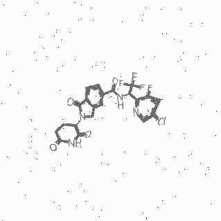 O=C1CC[C@@H](N2Cc3cc(C(=O)N[C@H](c4ncc(Cl)cc4F)C(F)(F)F)ccc3C2=O)C(=O)N1